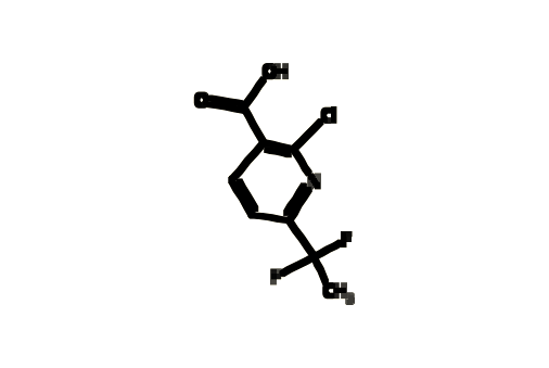 CC(F)(F)c1ccc(C(=O)O)c(Cl)n1